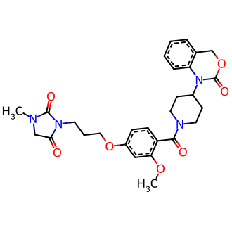 COc1cc(OCCCN2C(=O)CN(C)C2=O)ccc1C(=O)N1CCC(N2C(=O)OCc3ccccc32)CC1